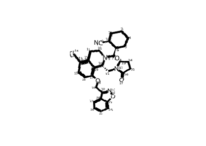 N#C[C@H]1CCCC[C@H]1C(=O)N1CCc2c(Cl)ccc(OCc3noc4ccccc34)c2[C@H]1CN1CCCC1=O